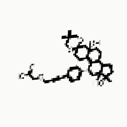 CC1(C)COC2(CCC3=C4C(CCC3(O)C2)C2CCC(C)(O)C2(C)C[C@@H]4c2ccc(C#CCOCC(=O)O)cc2)OC1